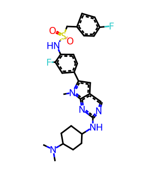 CN(C)C1CCC(Nc2ncc3cc(-c4ccc(NS(=O)(=O)Cc5ccc(F)cc5)c(F)c4)n(C)c3n2)CC1